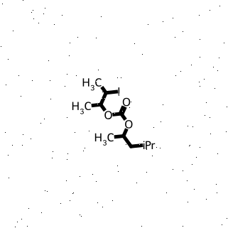 CC(C)CC(C)OC(=O)OC(C)C(C)I